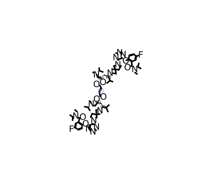 CCN(C(=O)c1cc(F)ccc1Oc1nncnc1N1CCC2(C1)CN([C@H](C[C@@H](CN(C)C(C)C)OC(=O)/C=C/C(=O)O[C@@H](C[C@H](C(C)C)N1CC3(CCN(c4ncnnc4Oc4ccc(F)cc4C(=O)N(CC)C(C)C)C3)C1)CN(C)C(C)C)C(C)C)C2)C(C)C